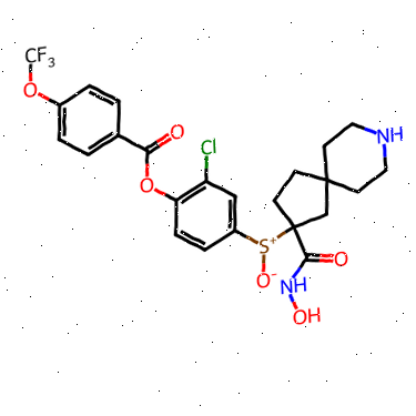 O=C(Oc1ccc([S+]([O-])C2(C(=O)NO)CCC3(CCNCC3)C2)cc1Cl)c1ccc(OC(F)(F)F)cc1